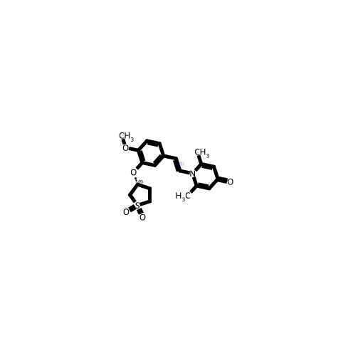 COc1ccc(/C=C/n2c(C)cc(=O)cc2C)cc1O[C@@H]1CCS(=O)(=O)C1